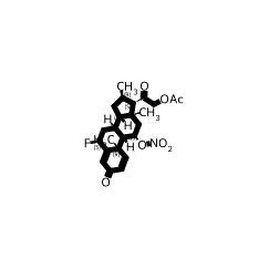 CC(=O)OCC(=O)[C@H]1[C@H](C)C[C@H]2[C@@H]3C[C@H](F)C4=CC(=O)C=C[C@]4(C)[C@H]3[C@@H](O[N+](=O)[O-])C[C@@]21C